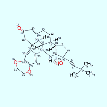 CC(C)(C)C#C[C@]1(O)CC[C@H]2[C@@H]3CCC4=CC(=O)CC[C@@H]4[C@H]3[C@@H](c3ccc4c(c3)OCCO4)C[C@@]21C